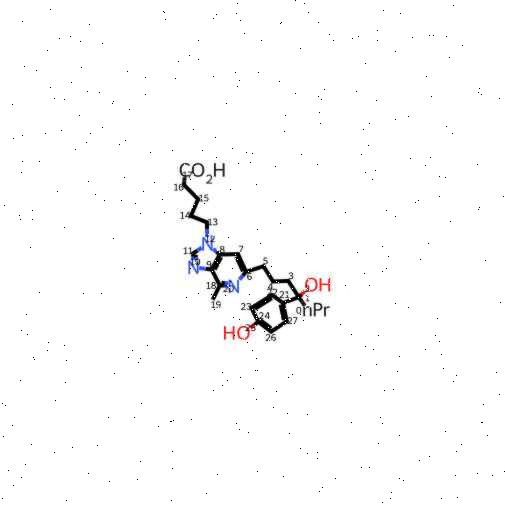 CCCC(O)(CCCc1cc2c(ncn2CCCCC(=O)O)c(C)n1)c1ccc(O)cc1